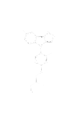 Cc1nc(NCC(O)CO)ncc1-n1c2ccc(F)cc2c2[nH]ncc21